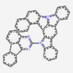 c1ccc2c(c1)-c1cccc3nc(-n4c5ccccc5c5cc6c7ccccc7n7c8ccc9ccccc9c8c(c54)c67)nc-2c13